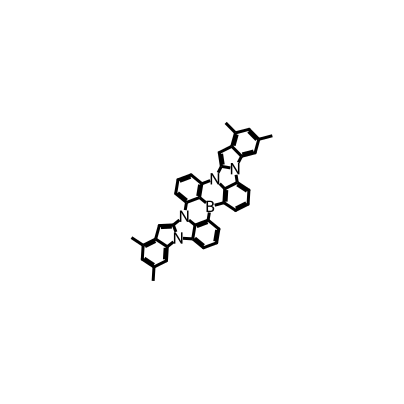 Cc1cc(C)c2cc3n4c5c(cccc5n3c2c1)B1c2c-4cccc2-n2c3c1cccc3n1c3cc(C)cc(C)c3cc21